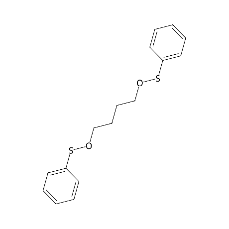 c1ccc(SOCCCCOSc2ccccc2)cc1